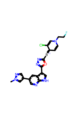 Cn1cc(-c2cnc3[nH]cc(-c4nnc(/B=C5\C=CN(CCF)C=C5Cl)o4)c3c2)cn1